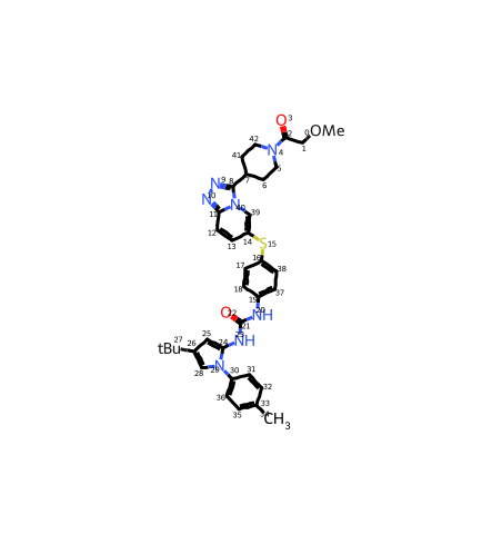 COCC(=O)N1CCC(c2nnc3ccc(Sc4ccc(NC(=O)Nc5cc(C(C)(C)C)cn5-c5ccc(C)cc5)cc4)cn23)CC1